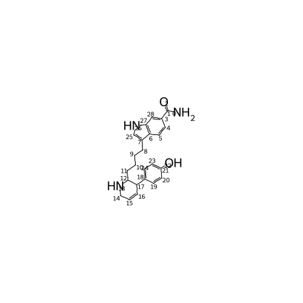 NC(=O)c1ccc2c(CCCCC3NCC=CC3c3ccc(O)cc3)c[nH]c2c1